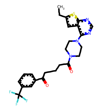 CCc1cc2c(N3CCN(C(=O)CCCC(=O)c4cccc(C(F)(F)F)c4)CC3)ncnc2s1